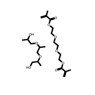 C=C(C)C(=O)OCCOCCOCCOC(=O)C(=C)C.CC(O)COC(C)COC(C)CO